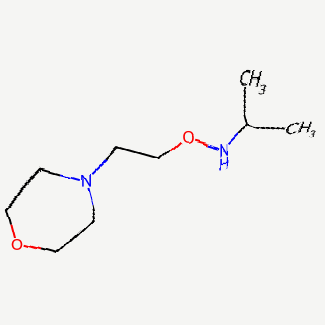 CC(C)NOCCN1CCOCC1